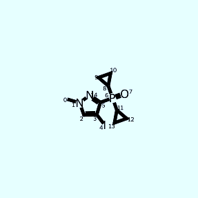 Cn1cc(I)c(P(=O)(C2CC2)C2CC2)n1